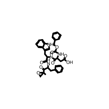 CC1(C(=O)C(Cc2ccccc2)NC(=O)C(Cc2c[nH]c3ccccc23)NC(=O)C(CC(=O)O)NC(=O)OCc2ccccc2)CO1